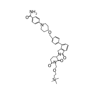 C[Si](C)(C)CCOCN1C(=O)CCC(N2Cc3c(cccc3-c3ccc(COC4CCN(c5ccc(C(N)=O)cc5)CC4)cc3)C2=O)C1=O